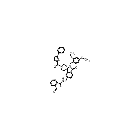 COc1ccc(CN2C(=O)c3ccc(CNC(=O)c4ccccc4C=O)cc3C23CCN(C(=O)c2ccc(-c4ccccc4)o2)CC3)c(OC)c1